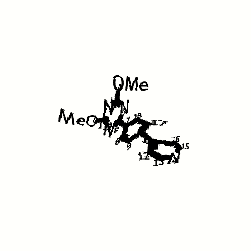 COc1nc(OC)nc(-c2ccc(-c3ccncc3)cc2)n1